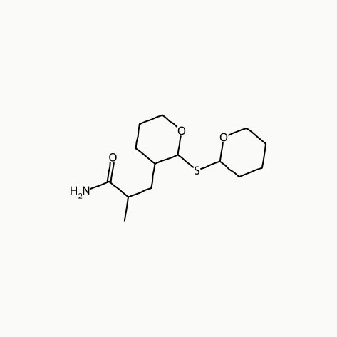 CC(CC1CCCOC1SC1CCCCO1)C(N)=O